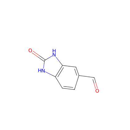 O=Cc1ccc2[nH]c(=O)[nH]c2c1